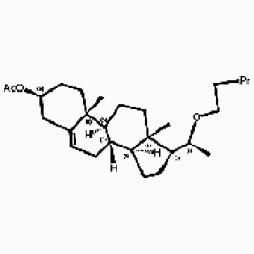 CC(=O)O[C@H]1CC[C@@]2(C)C(=CC[C@H]3[C@@H]4CC[C@H]([C@H](C)OCCC(C)C)[C@@]4(C)CC[C@@H]32)C1